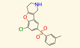 Cc1cccc(S(=O)(=O)c2cc(Cl)c3oc4c(c3c2)CNCC4)c1